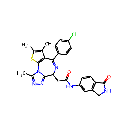 Cc1sc2c(c1C)C(c1ccc(Cl)cc1)=N[C@@H](CC(=O)Nc1ccc3c(c1)CNC3=O)c1nnc(C)n1-2